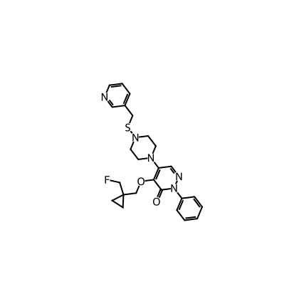 O=c1c(OCC2(CF)CC2)c(N2CCN(SCc3cccnc3)CC2)cnn1-c1ccccc1